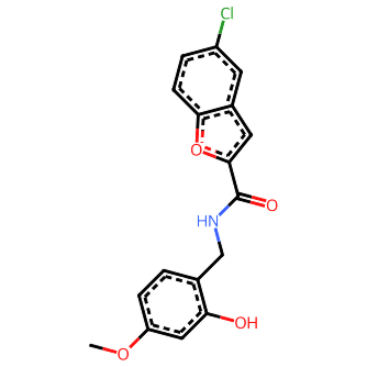 COc1ccc(CNC(=O)c2cc3cc(Cl)ccc3o2)c(O)c1